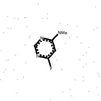 CNc1cc(F)ncn1